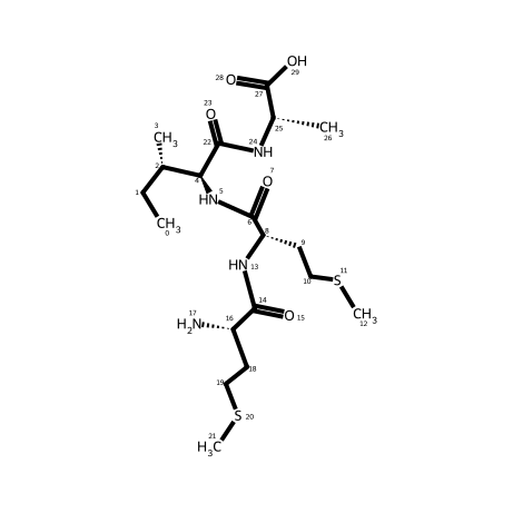 CC[C@H](C)[C@H](NC(=O)[C@H](CCSC)NC(=O)[C@@H](N)CCSC)C(=O)N[C@@H](C)C(=O)O